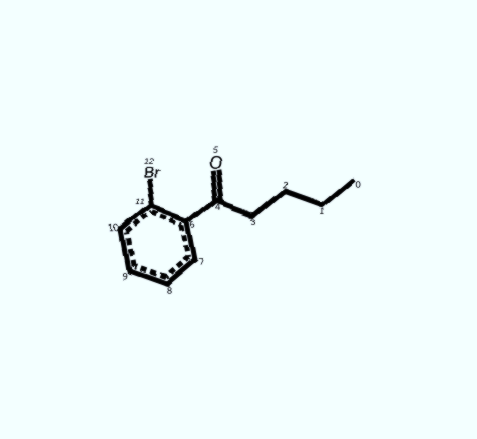 CCCCC(=O)c1ccccc1Br